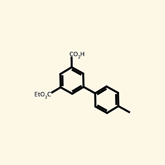 CCOC(=O)c1cc(C(=O)O)cc(-c2ccc(C)cc2)c1